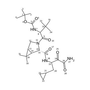 CC(C)(C)OC(=O)NC(C(=O)N1CC2C([C@H]1C(=O)NC(CC1CC1)C(=O)C(N)=O)C2(C)C)C(C)(C)C